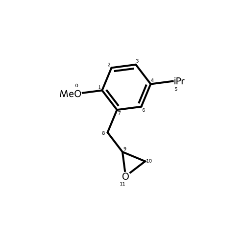 COc1ccc(C(C)C)cc1CC1CO1